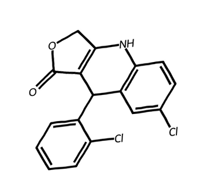 O=C1OCC2=C1C(c1ccccc1Cl)c1cc(Cl)ccc1N2